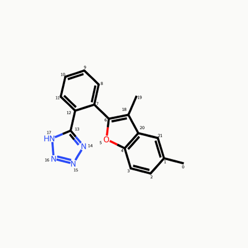 Cc1ccc2oc(-c3ccccc3-c3nnn[nH]3)c(C)c2c1